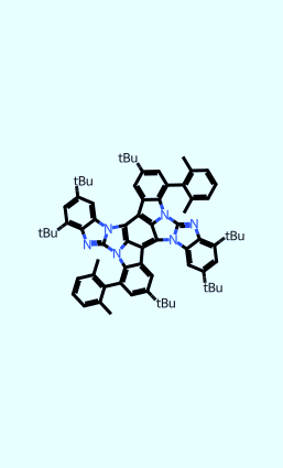 Cc1cccc(C)c1-c1cc(C(C)(C)C)cc2c3c4c5c(c6cc(C(C)(C)C)cc(-c7c(C)cccc7C)c6n5c5nc6c(C(C)(C)C)cc(C(C)(C)C)cc6n45)c4c3n(c12)c1nc2c(C(C)(C)C)cc(C(C)(C)C)cc2n41